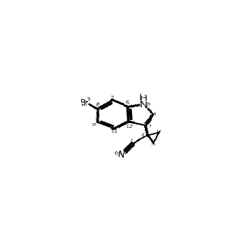 N#CC1(c2c[nH]c3cc(Br)ccc23)CC1